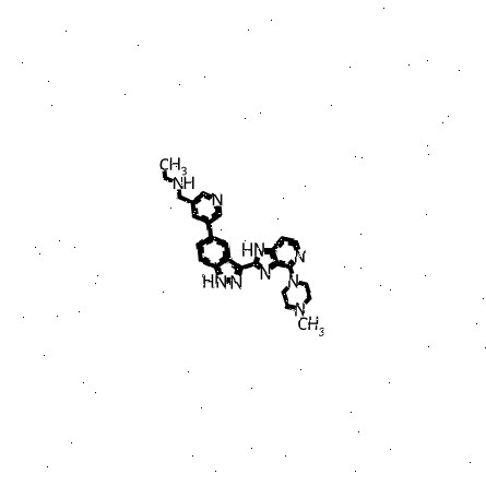 CCNCc1cncc(-c2ccc3[nH]nc(-c4nc5c(N6CCN(C)CC6)nccc5[nH]4)c3c2)c1